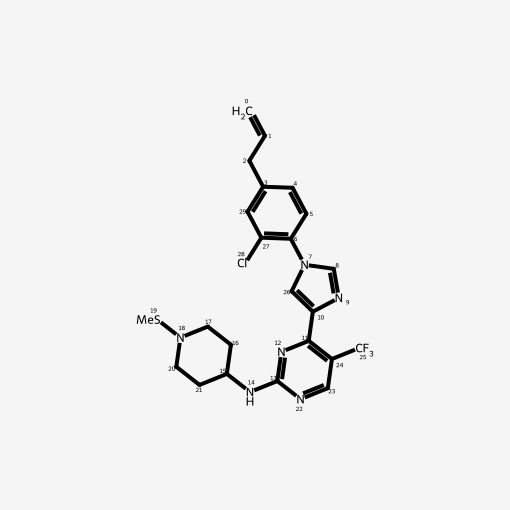 C=CCc1ccc(-n2cnc(-c3nc(NC4CCN(SC)CC4)ncc3C(F)(F)F)c2)c(Cl)c1